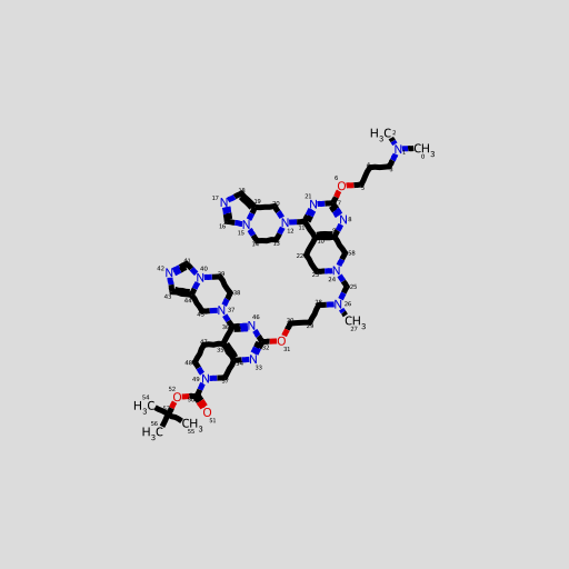 CN(C)CCCOc1nc2c(c(N3CCn4cncc4C3)n1)CCN(CN(C)CCCOc1nc3c(c(N4CCn5cncc5C4)n1)CCN(C(=O)OC(C)(C)C)C3)C2